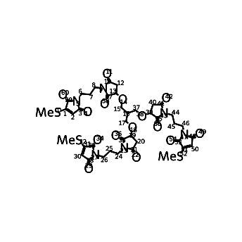 CSC1=CC(=O)N(CCCN2C(=O)CC(OCC(COC3CC(=O)N(CCCN4C(=O)C=C(SC)C4=O)C3=O)COC3CC(=O)N(CCCN4C(=O)C=C(SC)C4=O)C3=O)C2=O)C1=O